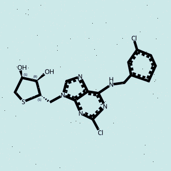 O[C@@H]1[C@H](O)CS[C@H]1Cn1cnc2c(NCc3cccc(Cl)c3)nc(Cl)nc21